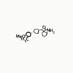 COc1ccc([C@H]2CC[C@H](CC3(C(N)=O)CCCCC3)CC2)cc1C